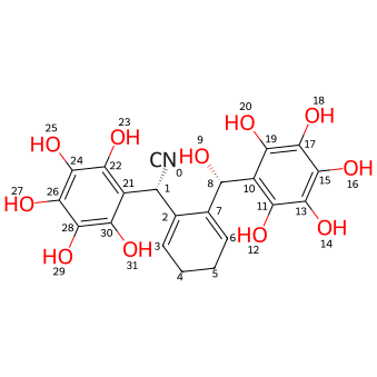 N#C[C@H](C1=CCCC=C1[C@H](O)c1c(O)c(O)c(O)c(O)c1O)c1c(O)c(O)c(O)c(O)c1O